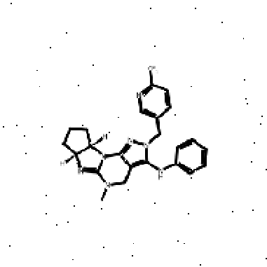 CN1Cc2c(nn(Cc3ccc(C(F)(F)F)nc3)c2Nc2ccccc2)N2C1=N[C@@H]1CCC[C@@H]12